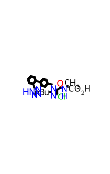 CCCCc1nc(Cl)c(C(=O)N[C@@H](C)C(=O)O)n1Cc1ccc(-c2ccccc2-c2nnn[nH]2)cc1